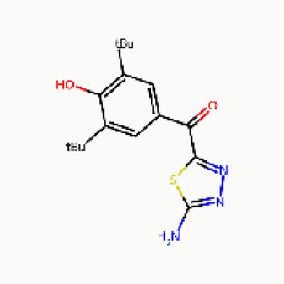 CC(C)(C)c1cc(C(=O)c2nnc(N)s2)cc(C(C)(C)C)c1O